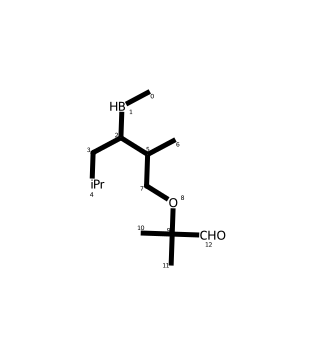 CBC(CC(C)C)C(C)COC(C)(C)C=O